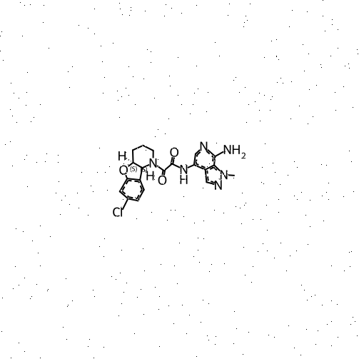 Cn1ncc2c(NC(=O)C(=O)N3CCC[C@@H]4Oc5cc(Cl)ccc5[C@@H]43)cnc(N)c21